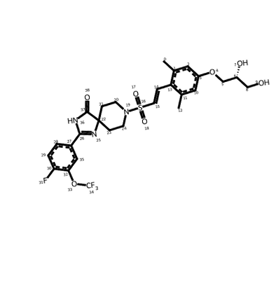 Cc1cc(OC[C@H](O)CO)cc(C)c1C=CS(=O)(=O)N1CCC2(CC1)N=C(c1ccc(F)c(OC(F)(F)F)c1)NC2=O